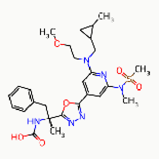 COCCN(CC1CC1C)c1cc(-c2nnc([C@@](C)(Cc3ccccc3)NC(=O)O)o2)cc(N(C)S(C)(=O)=O)n1